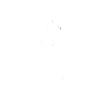 CCCCCCCCCCCCCCC(C)COCC(COP(=O)(O)CCN1CCCC1)OC=O